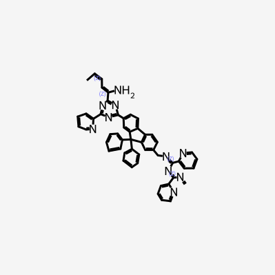 C=N/C(=N\C(=N/Cc1ccc2c(c1)C(c1ccccc1)(c1ccccc1)c1cc(-c3nc(/C(N)=C/C=C\C)nc(-c4ccccn4)n3)ccc1-2)c1ccccn1)c1ccccn1